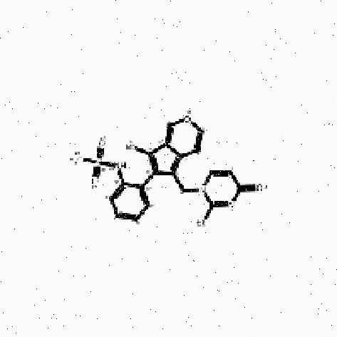 CCc1nc(=O)ccn1Cc1c2ccocc-2c(Br)c1-c1ccccc1NS(=O)(=O)C(F)(F)F